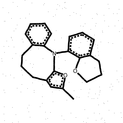 Cc1cc2c(o1)N(c1cccc3c1OCCC3)c1ccccc1CCC2